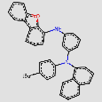 CC(C)(C)c1ccc(N(c2cccc(Nc3cccc4c3oc3ccccc34)c2)c2cccc3ccccc23)cc1